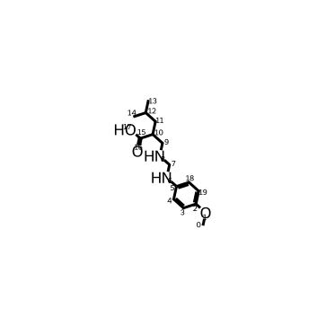 COc1ccc(NCNCC(CC(C)C)C(=O)O)cc1